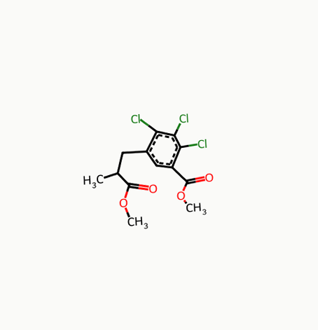 COC(=O)c1cc(CC(C)C(=O)OC)c(Cl)c(Cl)c1Cl